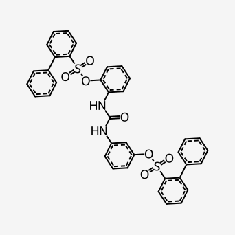 O=C(Nc1cccc(OS(=O)(=O)c2ccccc2-c2ccccc2)c1)Nc1ccccc1OS(=O)(=O)c1ccccc1-c1ccccc1